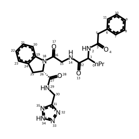 CCCC(NC(=O)Cc1ccccc1)C(=O)NCC(=O)N1c2ccccc2C[C@H]1C(=O)NCc1nn[nH]n1